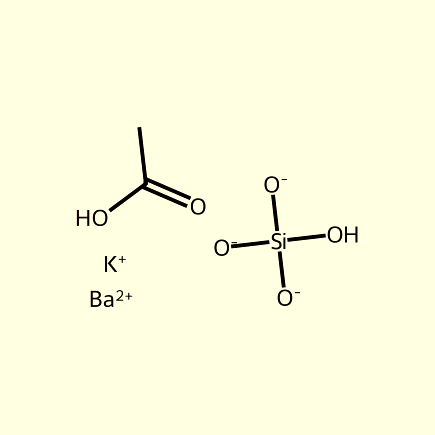 CC(=O)O.[Ba+2].[K+].[O-][Si]([O-])([O-])O